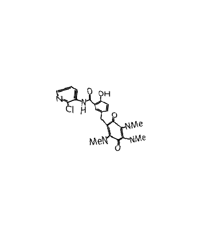 CNC1=C(Cc2ccc(O)c(C(=O)Nc3cccnc3Cl)c2)C(=O)C(NC)=C(NC)C1=O